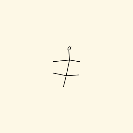 CC(C)(C)[C](C)(C)[Zr]